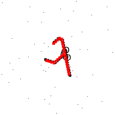 CCCCC/C=C\C/C=C\CCCCCCCC(=O)OCC(COC(=O)CCCCCCCCCCCCCCC)OCCCCCCCC/C=C\CCCCCCCC